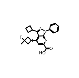 CC1(F)CN(c2cc(C(=O)O)nc3c2c(C2CCC2)nn3-c2ccccc2)C1